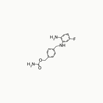 NC(=O)OCc1ccc(CNc2cc(F)ccc2N)cc1